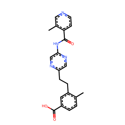 Cc1ccc(C(=O)O)cc1CCc1cnc(NC(=O)c2ccncc2C)cn1